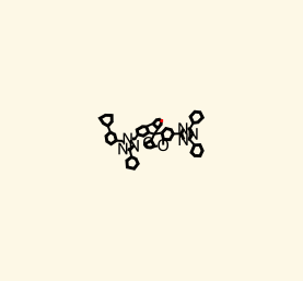 c1ccc(-c2cccc(-c3nc(-c4ccccc4)nc(-c4ccc5c(c4)C4(c6ccccc6Oc6cc(-c7nc(-c8ccccc8)nc(-c8ccccc8)n7)ccc64)c4ccccc4-5)n3)c2)cc1